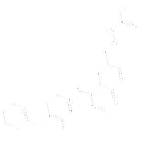 CC(=N)NN=Cc1ccc2ncnc(Nc3ccc(Oc4ccccc4)c(C)c3)c2c1